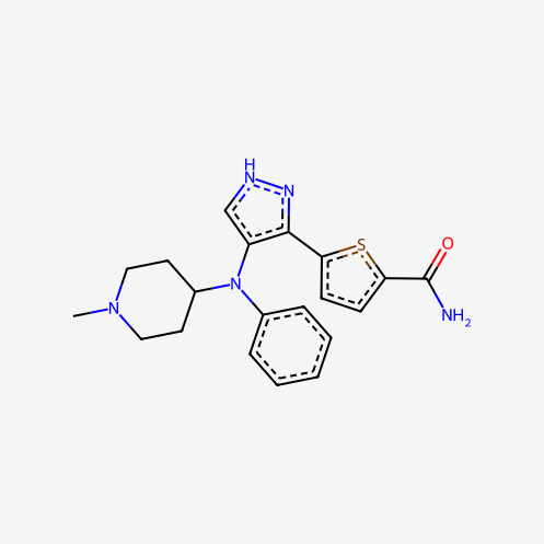 CN1CCC(N(c2ccccc2)c2c[nH]nc2-c2ccc(C(N)=O)s2)CC1